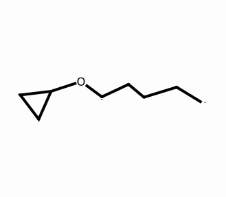 [CH2]CCC[CH]OC1CC1